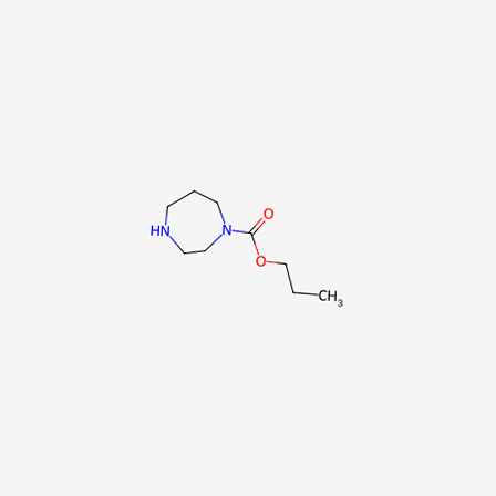 CCCOC(=O)N1CCCNCC1